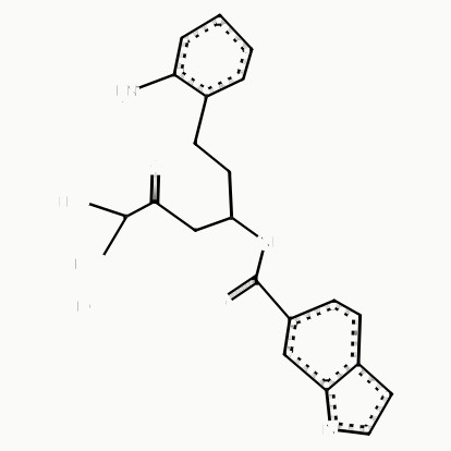 CC(C)C(=O)CC(CCc1ccccc1N)NC(=O)c1ccc2cc[nH]c2c1.Cl